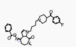 CN1CC/C(=N/OC(=O)c2ccccc2)C2C=CN(CCCCN3CCC(C(=O)c4ccc(F)cc4)CC3)C2C1=O